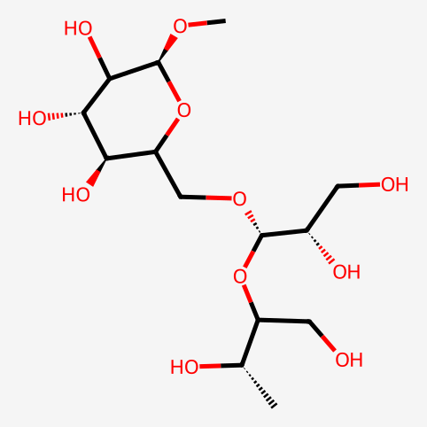 CO[C@H]1OC(CO[C@@H](OC(CO)[C@H](C)O)[C@@H](O)CO)[C@@H](O)[C@H](O)C1O